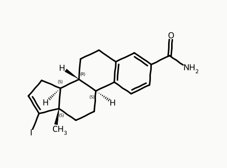 C[C@]12CC[C@@H]3c4ccc(C(N)=O)cc4CC[C@H]3[C@@H]1CC=C2I